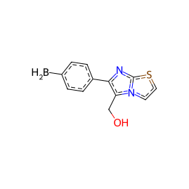 Bc1ccc(-c2nc3sccn3c2CO)cc1